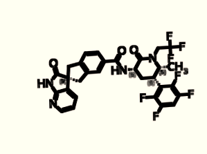 C[C@@H]1[C@H](c2c(F)c(F)cc(F)c2F)C[C@H](NC(=O)c2ccc3c(c2)C[C@@]2(C3)C(=O)Nc3ncccc32)C(=O)N1CC(F)(F)F